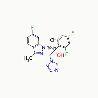 Cc1nn([C@H](C)[C@](O)(Cn2cncn2)c2ccc(F)cc2F)c2cc(F)ccc12